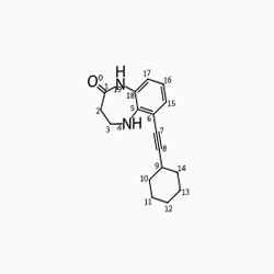 O=C1CCNc2c(C#CC3CCCCC3)cccc2N1